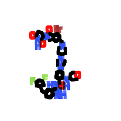 O=C1CCC(N2Cc3cc(CN4CCC(N5CCN(c6ccc(C(=O)Nc7n[nH]c8ccc(Cc9cc(F)cc(F)c9)cc78)c(NC7CCOCC7)c6)CC5)CC4)cc(Br)c3C2=O)C(=O)N1